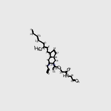 C=C/C=C1/CC2C(CCC(O)CCCCC)CCC2C/C1=C(/C)OCC(=O)NCC=O